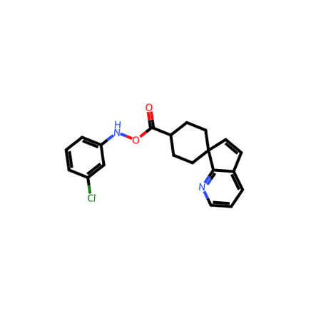 O=C(ONc1cccc(Cl)c1)C1CCC2(C=Cc3cccnc32)CC1